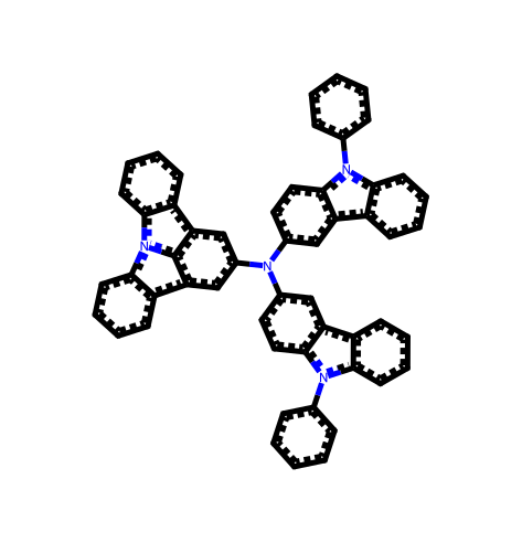 c1ccc(-n2c3ccccc3c3cc(N(c4ccc5c(c4)c4ccccc4n5-c4ccccc4)c4cc5c6ccccc6n6c7ccccc7c(c4)c56)ccc32)cc1